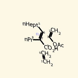 C=C.C=COC(C)=O.CCCCCCC/C=C(\CCC)C(=O)O